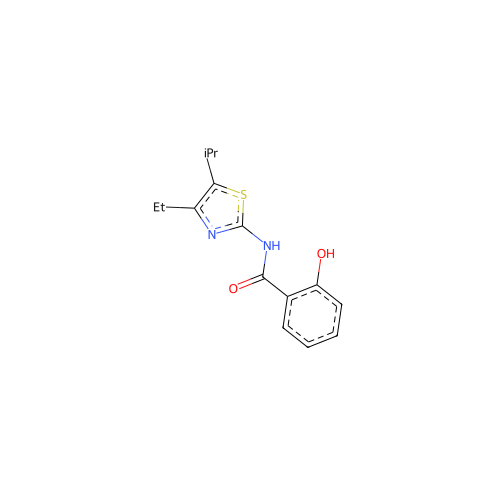 CCc1nc(NC(=O)c2ccccc2O)sc1C(C)C